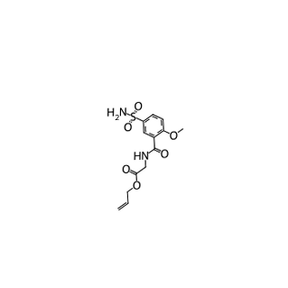 C=CCOC(=O)CNC(=O)c1cc(S(N)(=O)=O)ccc1OC